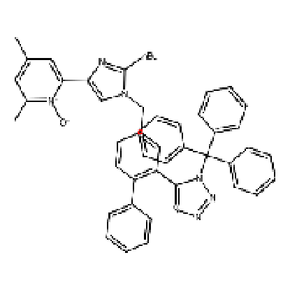 CCCCc1nc(-c2cc(C)cc(C)[n+]2[O-])cn1Cc1ccc(-c2ccccc2)c(-c2nnnn2C(c2ccccc2)(c2ccccc2)c2ccccc2)c1